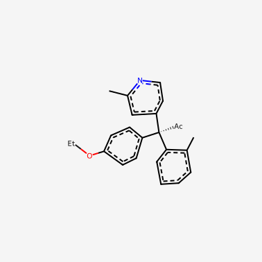 CCOc1ccc([C@@](C(C)=O)(c2ccnc(C)c2)c2ccccc2C)cc1